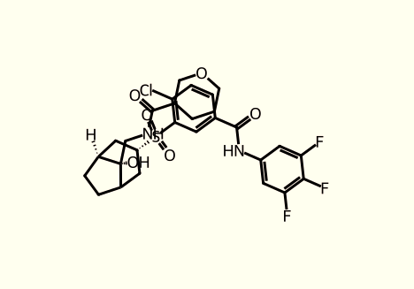 O=C(Nc1cc(F)c(F)c(F)c1)c1ccc(Cl)c(S(=O)(=O)[C@@H]2CC3CC[C@@H](C2)[C@@]3(O)CNC(=O)C2CCCOC2)c1